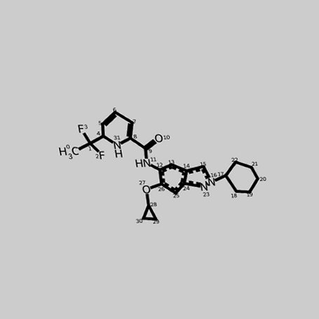 CC(F)(F)C1C=CC=C(C(=O)Nc2cc3cn(C4CCCCC4)nc3cc2OC2CC2)N1